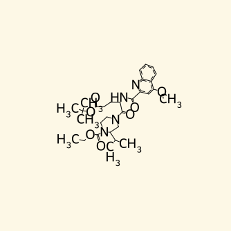 CCOC(=O)N1CCN(C(=O)C(CCC(=O)OC(C)(C)C)NC(=O)c2cc(OC)c3ccccc3n2)CC1C(C)C